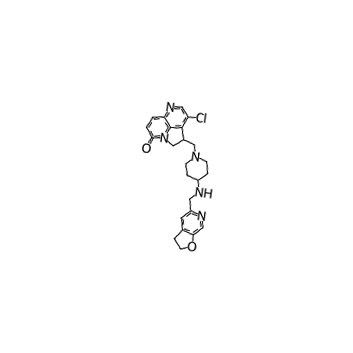 O=c1ccc2ncc(Cl)c3c2n1CC3CN1CCC(NCc2cc3c(cn2)OCC3)CC1